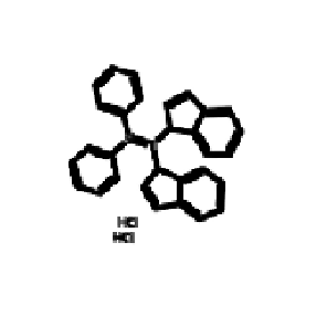 C1=C[CH]([Ti]([CH]2C=Cc3ccccc32)=[Si](c2ccccc2)c2ccccc2)c2ccccc21.Cl.Cl